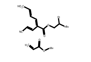 C=CC(=O)OCCCC.CCCCC(CC)COC(=O)C(C=CC#N)=CC=CC(=O)O